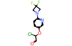 O=CC(Cl)Oc1ccc(N2CC(F)(F)C2)nc1